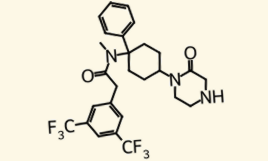 CN(C(=O)Cc1cc(C(F)(F)F)cc(C(F)(F)F)c1)C1(c2ccccc2)CCC(N2CCNCC2=O)CC1